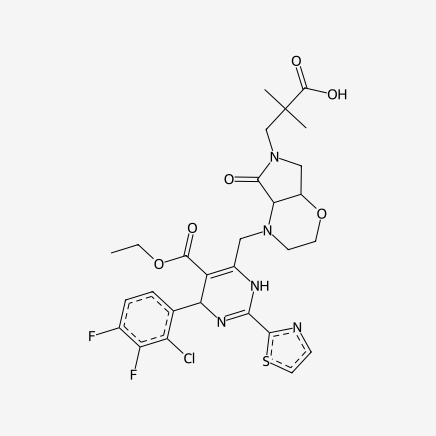 CCOC(=O)C1=C(CN2CCOC3CN(CC(C)(C)C(=O)O)C(=O)C32)NC(c2nccs2)=NC1c1ccc(F)c(F)c1Cl